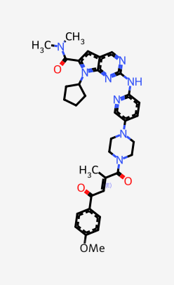 COc1ccc(C(=O)/C=C(\C)C(=O)N2CCN(c3ccc(Nc4ncc5cc(C(=O)N(C)C)n(C6CCCC6)c5n4)nc3)CC2)cc1